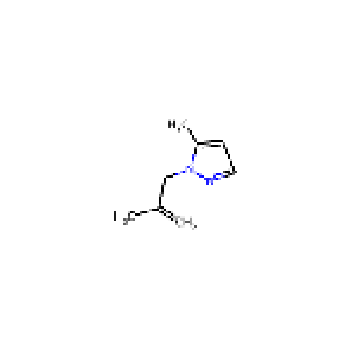 C=C(C)Cn1nccc1C